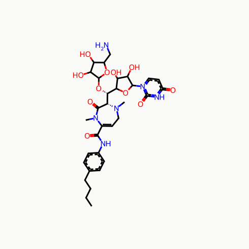 CCCCc1ccc(NC(=O)C2=CCN(C)[C@@H]([C@H](OC3OC(CN)C(O)C3O)C3OC(n4ccc(=O)[nH]c4=O)C(O)C3O)C(=O)N2C)cc1